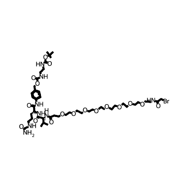 CC(C)[C@H](NC(=O)CCOCCOCCOCCOCCOCCOCCOCCOCCNC(=O)CBr)C(=O)N[C@@H](CCCNC(N)=O)C(=O)Nc1ccc(COC(=O)NCCNC(=O)OC(C)(C)C)cc1